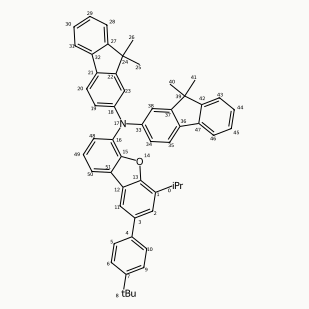 CC(C)c1cc(-c2ccc(C(C)(C)C)cc2)cc2c1oc1c(N(c3ccc4c(c3)C(C)(C)c3ccccc3-4)c3ccc4c(c3)C(C)(C)c3ccccc3-4)cccc12